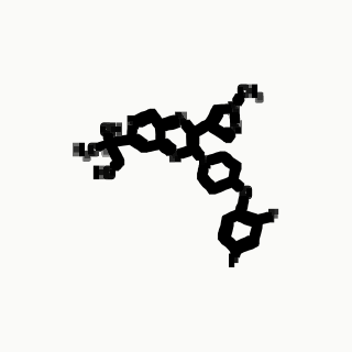 Cn1cc(-c2nc3cnc([C@@](C)(O)CO)cc3nc2N2CCC(Oc3ccc(F)cc3F)CC2)cn1